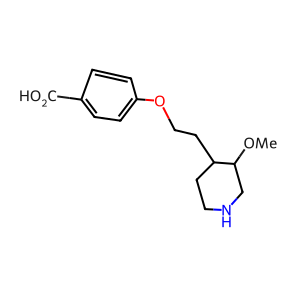 COC1CNCCC1CCOc1ccc(C(=O)O)cc1